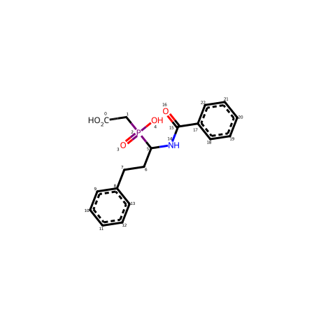 O=C(O)CP(=O)(O)C(CCc1ccccc1)NC(=O)c1ccccc1